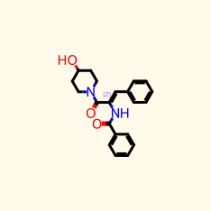 O=C(N/C(=C\c1ccccc1)C(=O)N1CCC(O)CC1)c1ccccc1